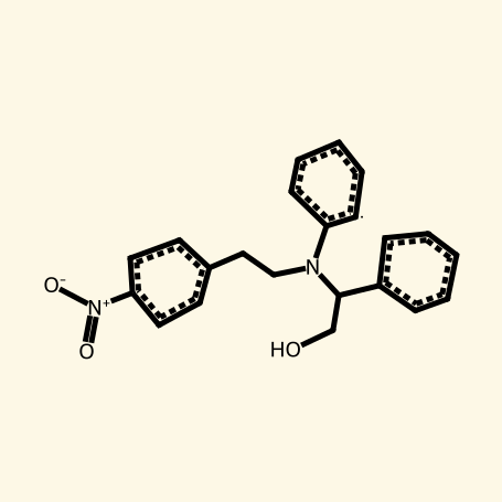 O=[N+]([O-])c1ccc(CCN(c2[c]cccc2)C(CO)c2ccccc2)cc1